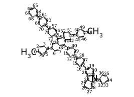 Cc1ccc(-c2ccc3c(-c4ccc(-c5ccc(-c6ccc7c(c6)c6ccccc6n7-c6ccccc6)cc5)cc4)c4cc(-c5ccc(C)cc5)ccc4c(-c4ccc(-c5ccc(-c6ccccc6)cc5)cc4)c3c2)cc1